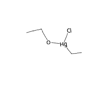 CC[O][Hg]([Cl])[CH2]C